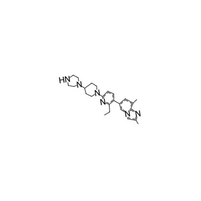 CCc1nc(N2CCC(N3CCNCC3)CC2)ccc1-c1cc(C)c2nc(C)cn2c1